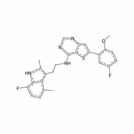 COc1ccc(F)cc1-c1cc2ncnc(NCCc3c(C)[nH]c4c(F)ccc(C)c34)c2s1